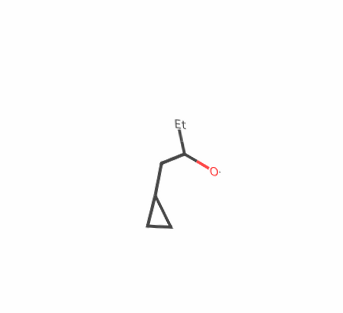 CCC([O])CC1CC1